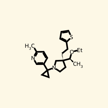 CCO[C@@H](C)[C@@]1(CCc2cccs2)CCN(C2(c3ccc(C)nc3)CC2)C1